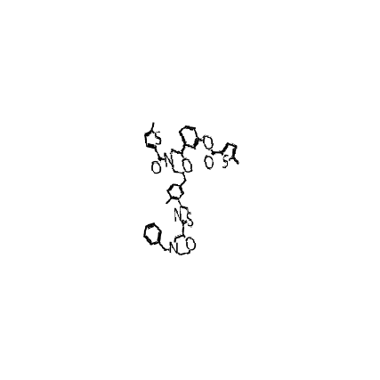 Cc1ccc(C(=O)Oc2cccc(C3CN(C(=O)c4ccc(C)s4)CC(Cc4ccc(C)c(-c5csc(C6CN(Cc7ccccc7)CCO6)n5)c4)O3)c2)s1